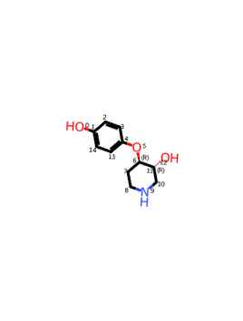 Oc1ccc(O[C@@H]2CCNC[C@H]2O)cc1